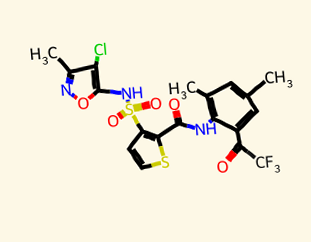 Cc1cc(C)c(NC(=O)c2sccc2S(=O)(=O)Nc2onc(C)c2Cl)c(C(=O)C(F)(F)F)c1